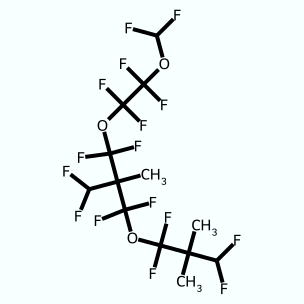 CC(C)(C(F)F)C(F)(F)OC(F)(F)C(C)(C(F)F)C(F)(F)OC(F)(F)C(F)(F)OC(F)F